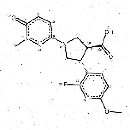 COc1ccc([C@@H]2CN(c3ccc(=O)n(C)n3)C[C@H]2C(=O)O)c(F)c1